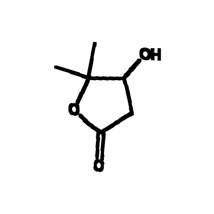 CC1(C)OC(=O)CC1O